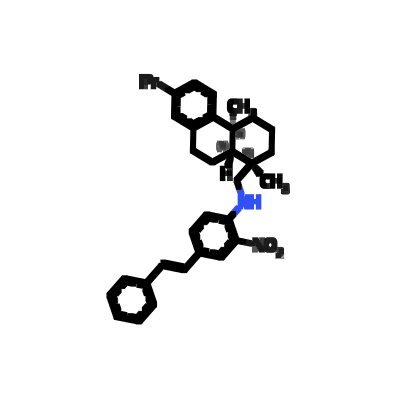 CC(C)c1ccc2c(c1)CC[C@H]1[C@@](C)(CNc3ccc(C=Cc4ccccc4)cc3[N+](=O)[O-])CCC[C@]21C